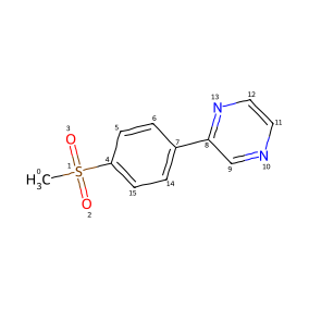 CS(=O)(=O)c1ccc(-c2cnccn2)cc1